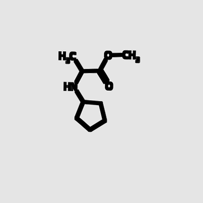 COC(=O)C(C)NC1CCCC1